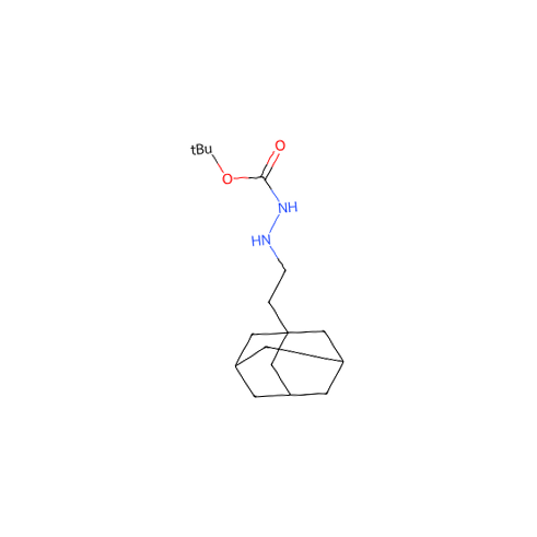 CC(C)(C)OC(=O)NNCCC12CC3CC(CC(C3)C1)C2